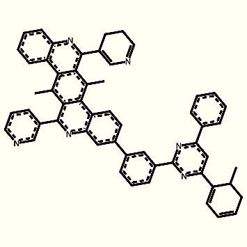 Cc1c2c(-c3cccnc3)nc3cc(-c4cccc(-c5nc(C6=CC=CCC6C)cc(-c6ccccc6)n5)c4)ccc3c2c(C)c2c(C3=CN=CCC3)nc3ccccc3c12